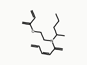 C=C/C=C\C(=C)N(CCOC(=C)C=C)C(C)CCC